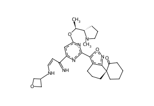 C[C@H](Oc1cc(C(=N)/C=C\NC2COC2)nc(-c2onc3c2CCC[C@@]32CCCCC2=O)n1)[C@@H]1CCCN1C